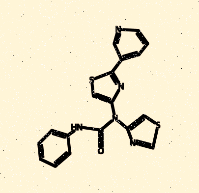 O=C(Nc1ccccc1)N(c1cscn1)c1csc(-c2cccnc2)n1